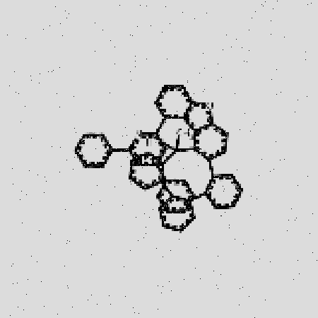 CC1(C)c2ccccc2-c2ccccc2-c2ccccc2-c2ccc3oc4cccc(-c5cc(-c6ccccc6)cc(-c6ccccc6)n5)c4c3c21